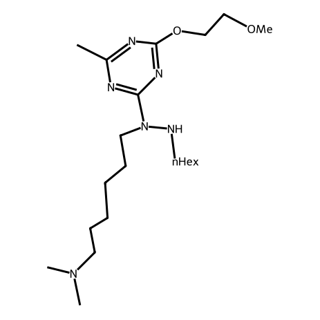 CCCCCCNN(CCCCCCN(C)C)c1nc(C)nc(OCCOC)n1